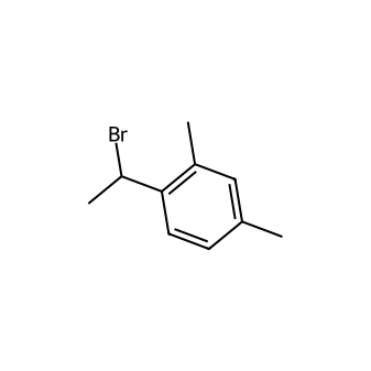 Cc1ccc(C(C)Br)c(C)c1